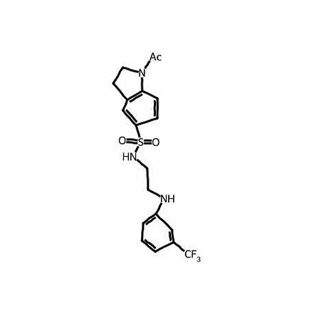 CC(=O)N1CCc2cc(S(=O)(=O)NCCNc3cccc(C(F)(F)F)c3)ccc21